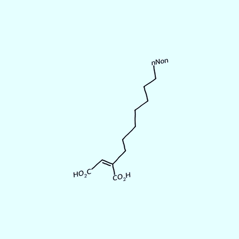 CCCCCCCCCCCCCCCCC(=CC(=O)O)C(=O)O